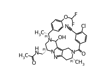 CC(=O)NC[C@@H]1CN([C@H](C)c2ccc(OC(F)F)cc2)C(O)c2c3c(nn21)C[C@@H](C)N(C(=O)c1ccc(Cl)c(C#N)c1)C3